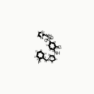 O=S(=O)(Nc1nccs1)c1ccc(N[C@@H]2CCN(Cc3ccccc3F)C2)c(Cl)c1